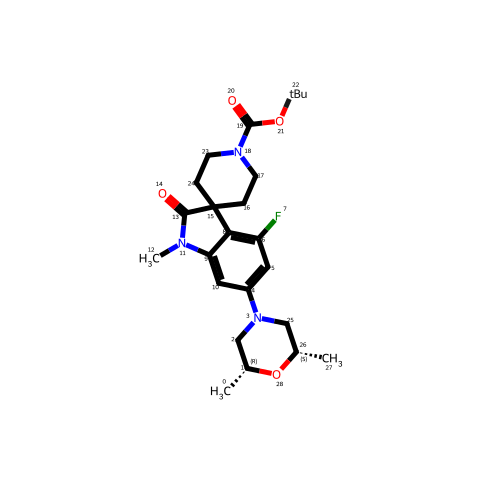 C[C@@H]1CN(c2cc(F)c3c(c2)N(C)C(=O)C32CCN(C(=O)OC(C)(C)C)CC2)C[C@H](C)O1